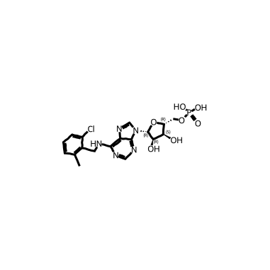 Cc1cccc(Cl)c1CNc1ncnc2c1ncn2[C@@H]1O[C@H](COP(=O)(O)O)[C@@H](O)[C@H]1O